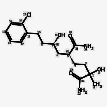 CC(O)(CC[C@H](C[C@@H](O)[CH]Cc1ccccc1Cl)C(N)=O)C(N)=O